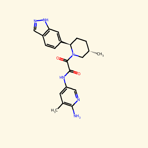 Cc1cc(NC(=O)C(=O)N2C[C@@H](C)CC[C@@H]2c2ccc3cn[nH]c3c2)cnc1N